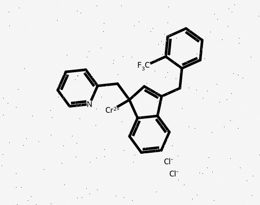 FC(F)(F)c1ccccc1CC1=C[C]([Cr+2])(Cc2ccccn2)c2ccccc21.[Cl-].[Cl-]